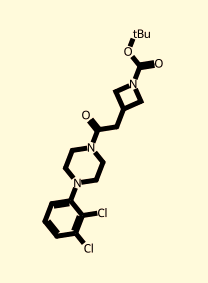 CC(C)(C)OC(=O)N1CC(CC(=O)N2CCN(c3cccc(Cl)c3Cl)CC2)C1